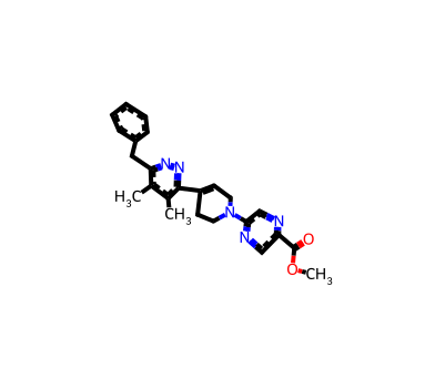 COC(=O)c1cnc(N2CC=C(c3nnc(Cc4ccccc4)c(C)c3C)CC2)cn1